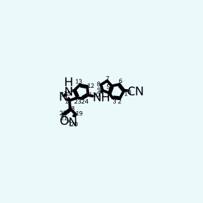 N#Cc1ccc2c(c1)CCC2Nc1ccc2[nH]nc(-c3cnoc3)c2c1